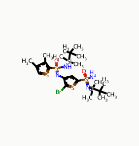 Cc1csc(S(=O)(=Nc2cc(S(N)(=O)=N[Si](C)(C)C(C)(C)C)sc2Br)N[Si](C)(C)C(C)(C)C)c1C